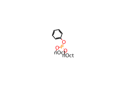 CCCCCCCCOP(OCCCCCCCC)Oc1ccccc1